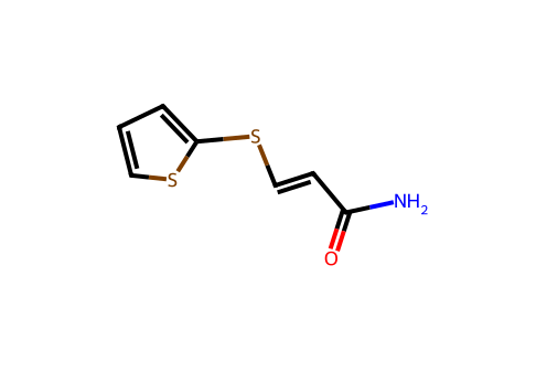 NC(=O)C=CSc1cccs1